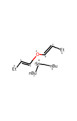 CCC=COC=CCC.CCC[CH2][Sn][CH2]CCC